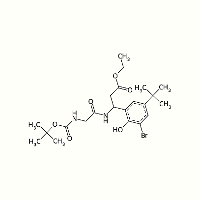 CCOC(=O)CC(NC(=O)CNC(=O)OC(C)(C)C)c1cc(C(C)(C)C)cc(Br)c1O